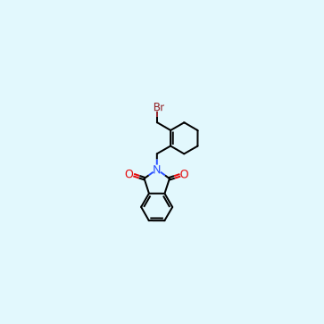 O=C1c2ccccc2C(=O)N1CC1=C(CBr)CCCC1